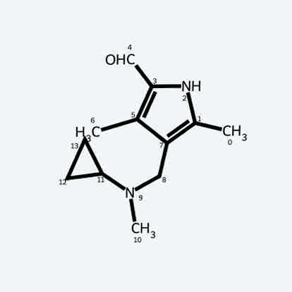 Cc1[nH]c(C=O)c(C)c1CN(C)C1CC1